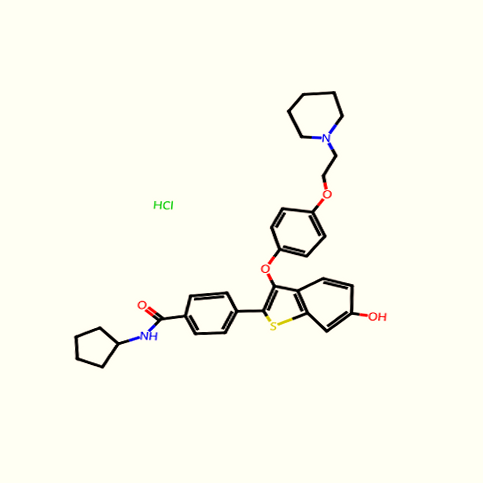 Cl.O=C(NC1CCCC1)c1ccc(-c2sc3cc(O)ccc3c2Oc2ccc(OCCN3CCCCC3)cc2)cc1